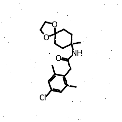 Cc1cc(Cl)cc(C)c1CC(=O)NC1(C)CCC2(CC1)OCCO2